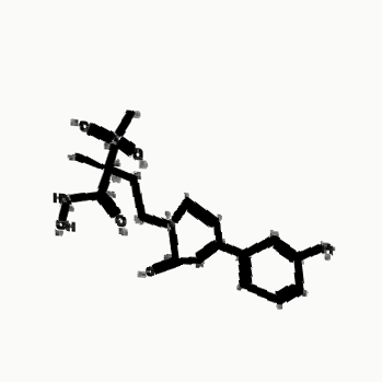 CC(C)c1cccc(-c2ccn(CC[C@](C)(C(=O)NO)S(C)(=O)=O)c(=O)c2)c1